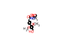 COc1cc(CO)cc(OC)c1-c1ccc(C[C@H](NC(=O)[C@@]2(C)CCCO2)C(=O)O)cc1